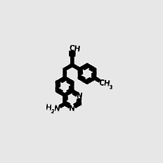 C#C[C](Cc1ccc2c(N)ncnc2c1)c1ccc(C)cc1